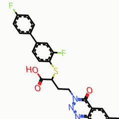 Cc1ccc2nnn(CCC(Sc3ccc(-c4ccc(F)cc4)cc3F)C(=O)O)c(=O)c2c1